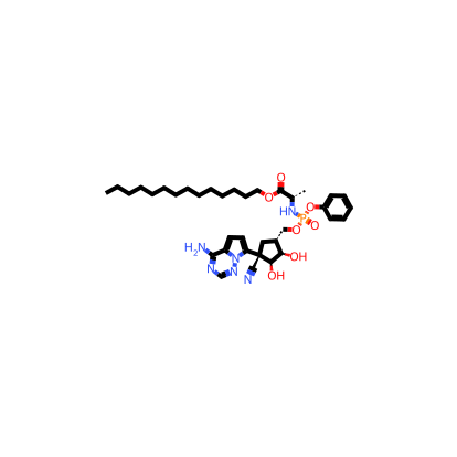 CCCCCCCCCCCCCCOC(=O)[C@H](C)NP(=O)(OC[C@H]1C[C@@](C#N)(c2ccc3c(N)ncnn23)[C@H](O)[C@@H]1O)Oc1ccccc1